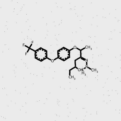 CCC(O)C/C(=N\N(C)C)C(C)Oc1ccc(Oc2ccc(C(F)(F)F)cc2)cc1